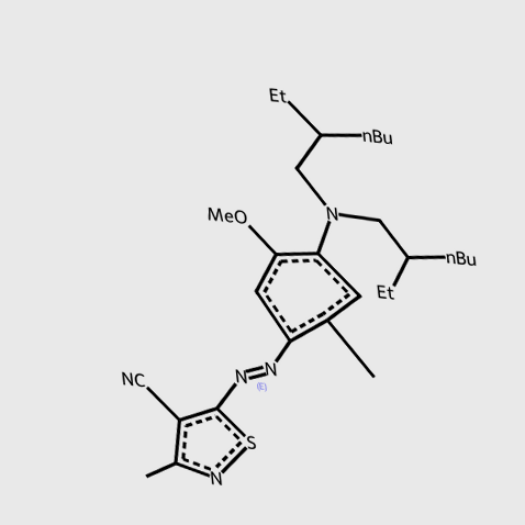 CCCCC(CC)CN(CC(CC)CCCC)c1cc(C)c(/N=N/c2snc(C)c2C#N)cc1OC